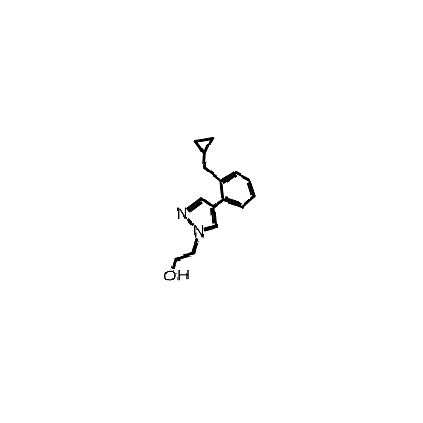 OCCn1cc(-c2ccccc2CC2CC2)cn1